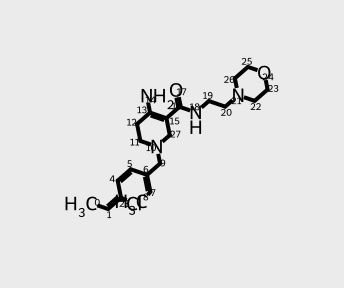 C\C=C(Cl)/C=C\C(=C/C)CN1CCC(N)=C(C(=O)NCCN2CCOCC2)C1